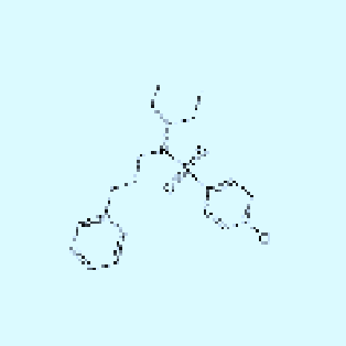 CCC(CC)N(CCCc1ccccc1)S(=O)(=O)c1ccc(Cl)cc1